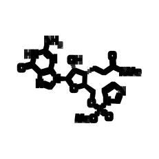 CNC(=O)CC[C@H]1[C@@H](O)[C@H](n2cnc3c(=O)[nH]c(N)nc32)O[C@@H]1COP(=O)(OC)n1ccnc1